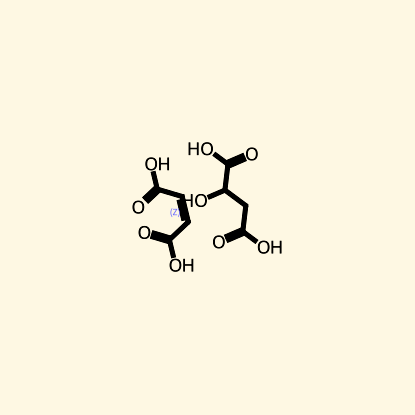 O=C(O)/C=C\C(=O)O.O=C(O)CC(O)C(=O)O